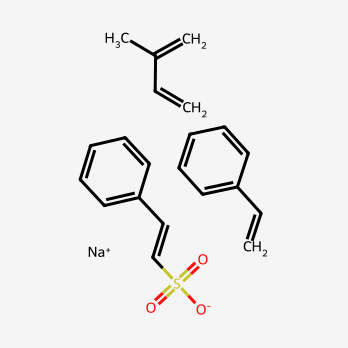 C=CC(=C)C.C=Cc1ccccc1.O=S(=O)([O-])C=Cc1ccccc1.[Na+]